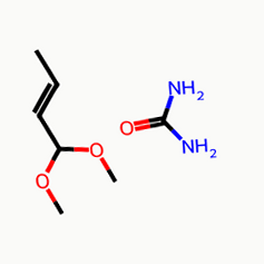 CC=CC(OC)OC.NC(N)=O